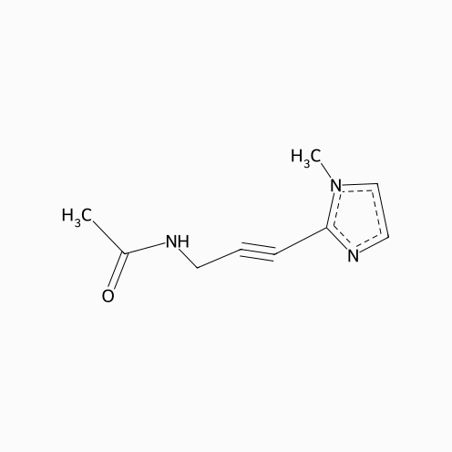 CC(=O)NCC#Cc1nccn1C